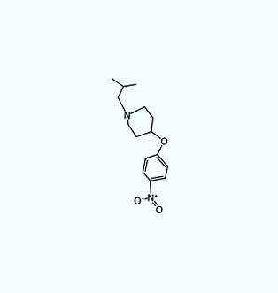 C[C](C)CN1CCC(Oc2ccc([N+](=O)[O-])cc2)CC1